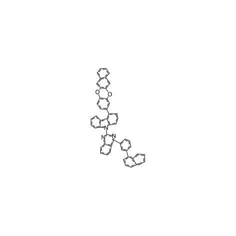 c1cc(-c2cccc3ccccc23)cc(-c2nc(-n3c4ccccc4c4c(-c5ccc6c(c5)Oc5cc7ccccc7cc5O6)cccc43)nc3ccccc23)c1